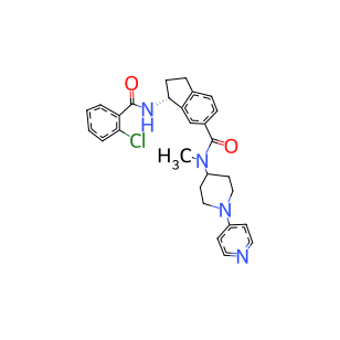 CN(C(=O)c1ccc2c(c1)[C@H](NC(=O)c1ccccc1Cl)CC2)C1CCN(c2ccncc2)CC1